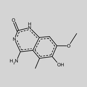 COc1cc2[nH]c(=O)nc(N)c2c(C)c1O